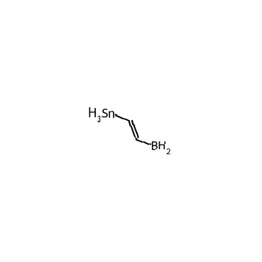 B/C=[CH]/[SnH3]